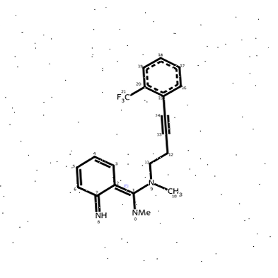 CN/C(=C1/C=CC=CC1=N)N(C)CCC#Cc1ccccc1C(F)(F)F